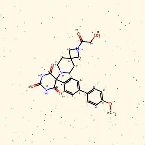 O=C1NC(=O)C(c2ccc(-c3ccc(OC(F)(F)F)cc3)cc2)(N2CCC3(CC2)CN(C(=O)CO)C3)C(=O)N1